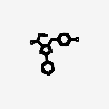 COC(=O)c1sc(-c2ccncc2)nc1Cc1ccc(Cl)cc1